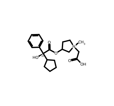 C[N+]1(CC(=O)O)CCC(OC(=O)[C@@](O)(c2ccccc2)C2CCCC2)C1